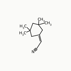 CC1(C)CC(=CC#N)CC(C)(C)C1